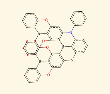 c1ccc(N2c3cccc4c3B(c3c(cc5c6c3Oc3ccccc3B6c3ccccc3O5)S4)c3c2cc2c4c3Oc3ccccc3B4c3ccccc3O2)cc1